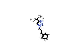 CC(C)c1cn(CCCc2ccccc2)nn1